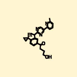 CCC1(c2ccc(C(=O)CCCO)cc2C(C)c2ncc(-c3cccc(C)n3)cn2)CC1